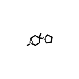 CN1CCC(C)(N2CCCC2)CC1